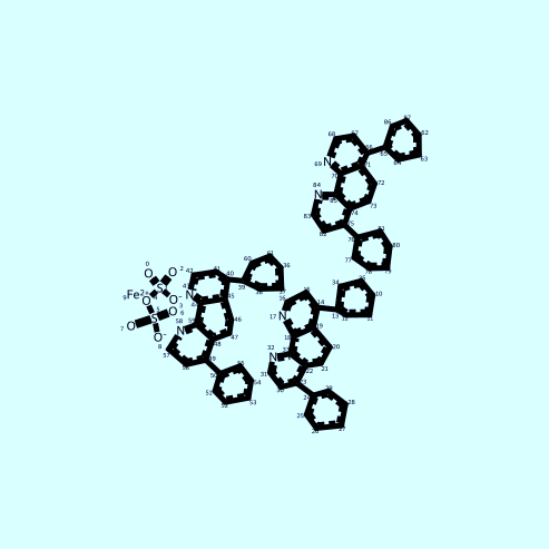 O=S(=O)([O-])OS(=O)(=O)[O-].[Fe+2].c1ccc(-c2ccnc3c2ccc2c(-c4ccccc4)ccnc23)cc1.c1ccc(-c2ccnc3c2ccc2c(-c4ccccc4)ccnc23)cc1.c1ccc(-c2ccnc3c2ccc2c(-c4ccccc4)ccnc23)cc1